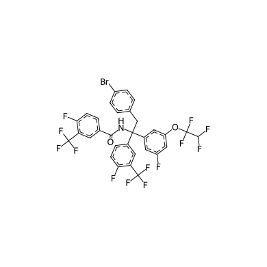 O=C(NC(Cc1ccc(Br)cc1)(c1cc(F)cc(OC(F)(F)C(F)F)c1)c1ccc(F)c(C(F)(F)F)c1)c1ccc(F)c(C(F)(F)F)c1